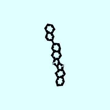 c1ccc2cc(-c3ccc4cc5c(cc4c3)sc3c4cc6ccccc6cc4sc53)ccc2c1